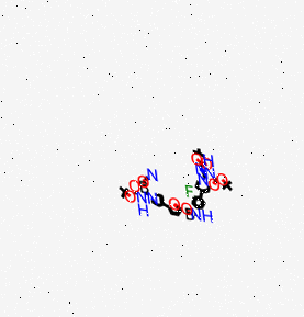 CB(Nc1ccc(C2=CCN(C(=NC(=O)OC(C)(C)C)NC(=O)OC(C)(C)C)CC2)c(F)c1)Oc1ccc(C2=CCN(C(=BOC#N)NC(=O)OC(C)(C)C)CC2)o1